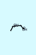 CCCCC/C=C\CC(O)C/C=C/CC/C=C\CCCC(=O)O